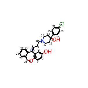 Oc1ccc2c(c1)/C(=C\CCN1CCC(O)(c3ccc(Cl)cc3)CC1)c1ccccc1CO2